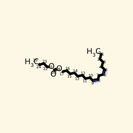 CCCCC/C=C\C/C=C\CCCCCCCCOC(=O)OCCCC